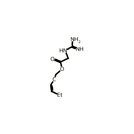 CC/C=C\CCOC(=O)CNC(=N)N